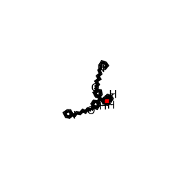 c1cc(C(c2ccc(OCCCCCCN3CCCCC3)cc2)=C2C3C[C@H]4C[C@@H](C3)C[C@H]2C4)ccc1OCCCCCCN1CCCCC1